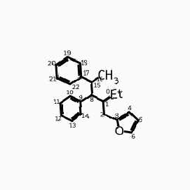 CCC(Cc1ccco1)C(c1ccccc1)C(C)c1ccccc1